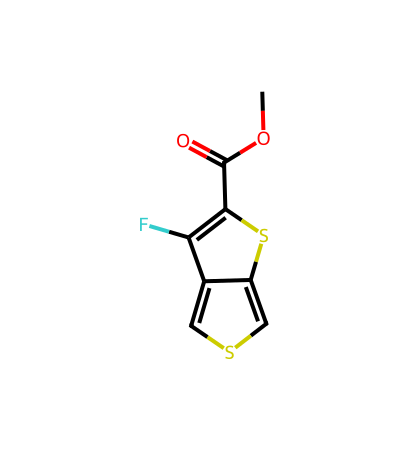 COC(=O)c1sc2cscc2c1F